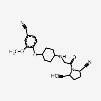 C#CC1CCC(C#N)N1C(=O)CNC1CCC(Oc2ccc(C#N)cc2OC)CC1